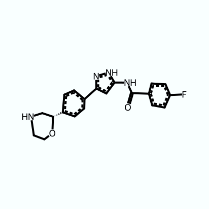 O=C(Nc1cc(-c2ccc([C@H]3CNCCO3)cc2)n[nH]1)c1ccc(F)cc1